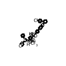 O=C(NS(=O)(=O)c1ccc(N[C@H](CCN2CCOCC2)CSc2ccccc2)c(S(=O)(=O)C(F)(F)F)c1)c1ccc(N2CCC3(CC2)CN(C2CCCC=C2c2ccc(Cl)cc2)C3)cc1